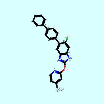 O=C(O)c1ccnc(Oc2nc3cc(-c4ccc(-c5ccccc5)cc4)c(Cl)cc3[nH]2)c1